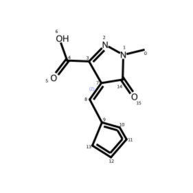 CN1N=C(C(=O)O)/C(=C/C2=C=C=C=C2)C1=O